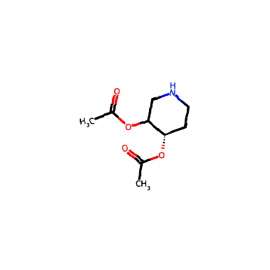 CC(=O)OC1CNCC[C@@H]1OC(C)=O